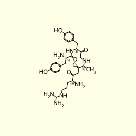 C[C@H](NCC(=O)[C@H](Cc1ccc(O)cc1)NC(=O)[C@@H](N)Cc1ccc(O)cc1)C(=O)CC(=O)[C@@H](N)CCCNC(N)N